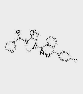 CC1CN(c2nnc(-c3ccc(Cl)cc3)c3ccccc23)CCN1C(=O)c1ccccc1